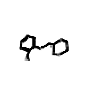 N#Cc1ncccc1OC[C@@H]1COCCO1